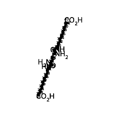 NC(CSSCC(N)C(=O)NCCCCCCCCCCCCCCC(=O)O)C(=O)NCCCCCCCCCCCCCCC(=O)O